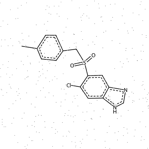 Cc1ccc(CS(=O)(=O)c2cc3nc[nH]c3cc2Cl)cc1